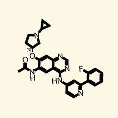 CC(=O)Nc1cc2c(Nc3ccnc(-c4ccccc4F)c3)ncnc2cc1O[C@@H]1CCN(C2CC2)C1